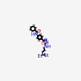 CCN(CC)CCCNc1nnc(-c2ccc(NC(=O)C3CCCCC3)cc2)o1